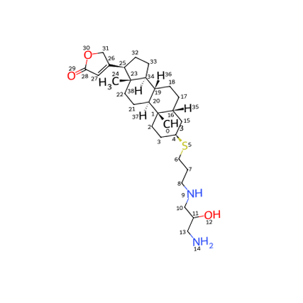 C[C@]12CC[C@H](SCCCNCC(O)CN)C[C@H]1CC[C@@H]1[C@@H]2CC[C@]2(C)[C@@H](C3=CC(=O)OC3)CC[C@@H]12